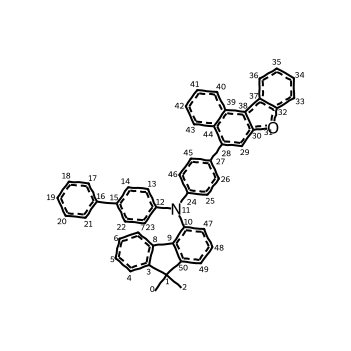 CC1(C)c2ccccc2-c2c(N(c3ccc(-c4ccccc4)cc3)c3ccc(-c4cc5oc6ccccc6c5c5ccccc45)cc3)cccc21